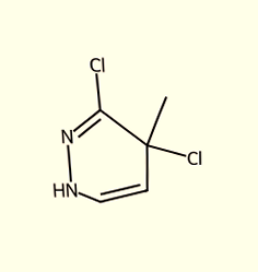 CC1(Cl)C=CNN=C1Cl